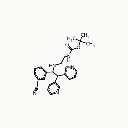 CC(C)(C)OC(=O)NCCNC(c1cccc(C#N)c1)C(c1cccnc1)c1cccnc1